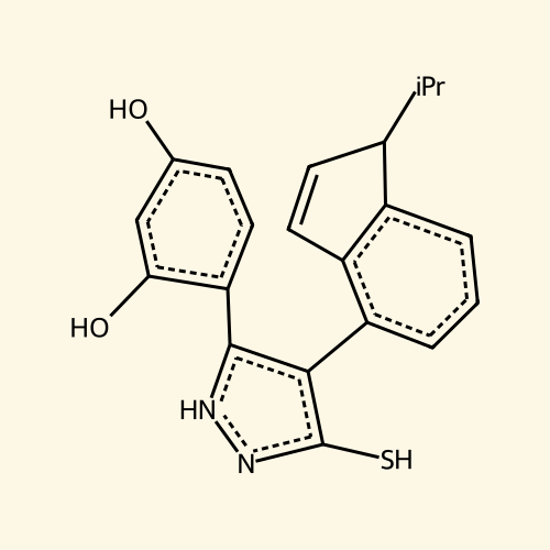 CC(C)C1C=Cc2c(-c3c(S)n[nH]c3-c3ccc(O)cc3O)cccc21